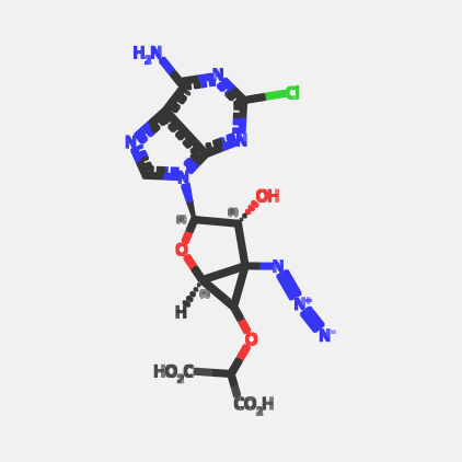 [N-]=[N+]=NC12C(OC(C(=O)O)C(=O)O)[C@H]1O[C@@H](n1cnc3c(N)nc(Cl)nc31)[C@@H]2O